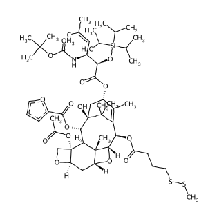 CSSCCCC(=O)O[C@@H]1C2=C(C)[C@@H](OC(=O)[C@H](O[Si](C(C)C)(C(C)C)C(C)C)[C@H](C=C(C)C)NC(=O)OC(C)(C)C)C[C@@](O)([C@@H](OC(=O)c3ccco3)[C@@H]3[C@]4(OC(C)=O)CO[C@@H]4C[C@H]4O[C@@H]1[C@@]34C)C2(C)C